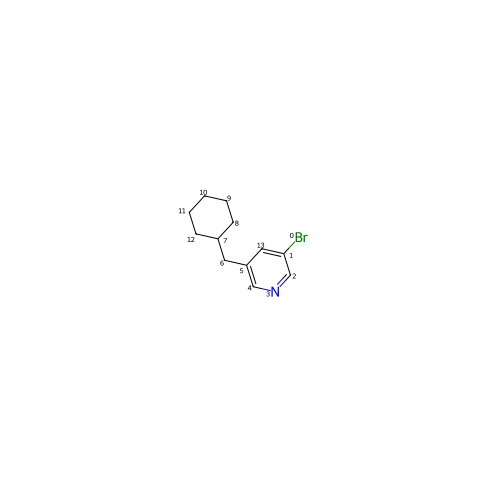 Brc1cncc(CC2CCCCC2)c1